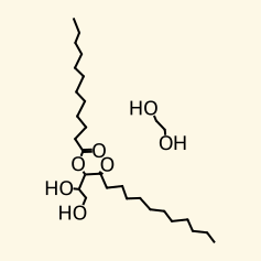 CCCCCCCCCCCC(=O)OC(C(=O)CCCCCCCCCCC)C(O)CO.OCCO